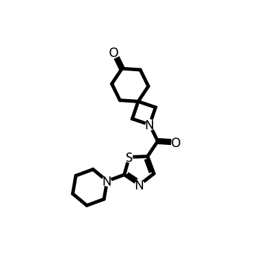 O=C1CCC2(CC1)CN(C(=O)c1cnc(N3CCCCC3)s1)C2